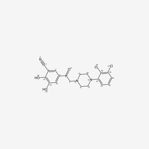 N#Cc1cc(C(=O)CN2CCN(c3cccc(Cl)c3Cl)CC2)cc(O)c1O